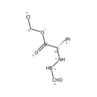 CC(C)[C@H](NBC=O)C(=O)OCCl